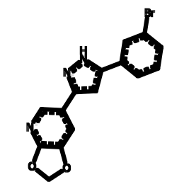 Brc1cccc(-c2cc(-c3cnc4c(c3)OCO4)n[nH]2)c1